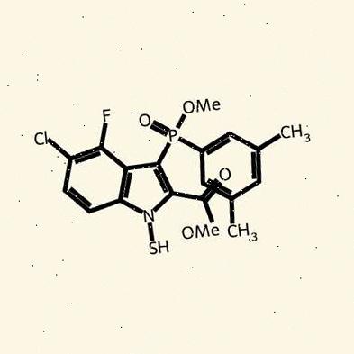 COC(=O)c1c(P(=O)(OC)c2cc(C)cc(C)c2)c2c(F)c(Cl)ccc2n1S